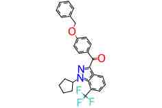 O=C(c1ccc(OCc2ccccc2)cc1)c1nn(C2CCCC2)c2c(C(F)(F)F)cccc12